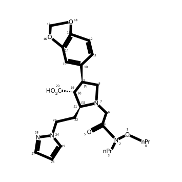 CCCON(CCC)C(=O)CN1C[C@H](c2ccc3c(c2)OCO3)[C@@H](C(=O)O)[C@@H]1CCn1cccn1